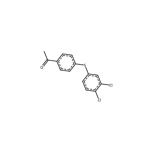 CC(=O)c1ccc(Sc2ccc(Cl)c(Cl)c2)cc1